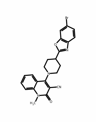 Cn1c(=O)c(C#N)c(N2CCC(c3nc4ccc(Br)cc4o3)CC2)c2ccccc21